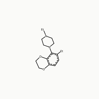 CCc1ccc2c(c1N1CCN(CC)CC1)OCCO2